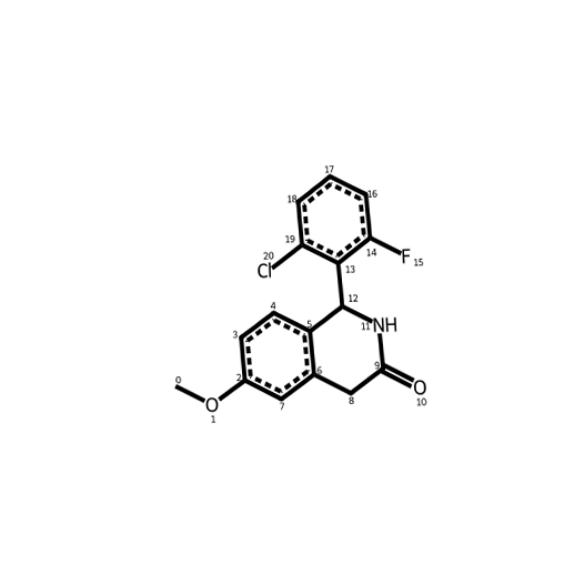 COc1ccc2c(c1)CC(=O)NC2c1c(F)cccc1Cl